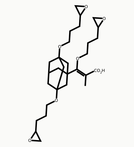 CC(C(=O)O)=C(OCCCC1CO1)C12CC3CC(OCCCC4CO4)(CC(OCCCC4CO4)(C3)C1)C2